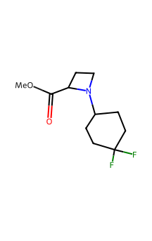 COC(=O)C1CCN1C1CCC(F)(F)CC1